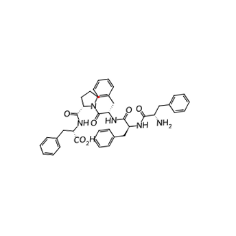 N[C@@H](Cc1ccccc1)C(=O)N[C@@H](Cc1ccccc1)C(=O)N[C@@H](Cc1ccccc1)C(=O)N1CCC[C@H]1C(=O)N[C@@H](Cc1ccccc1)C(=O)O